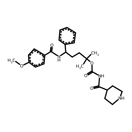 COc1ccc(C(=O)NC(CCC(C)(C)OC(=O)NC(=O)C2CCNCC2)c2ccccc2)cc1